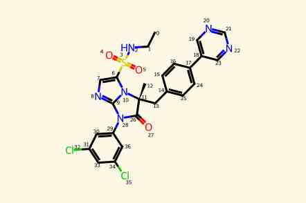 CCNS(=O)(=O)c1cnc2n1[C@](C)(Cc1ccc(-c3cncnc3)cc1)C(=O)N2c1cc(Cl)cc(Cl)c1